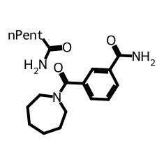 CCCCCC(N)=O.NC(=O)c1cccc(C(=O)N2CCCCCC2)c1